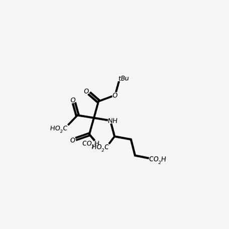 CC(C)(C)OC(=O)C(NC(CCC(=O)O)C(=O)O)(C(=O)C(=O)O)C(=O)C(=O)O